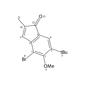 COc1c(C(C)(C)C)cc2c(c1Br)C=C(C)C2=O